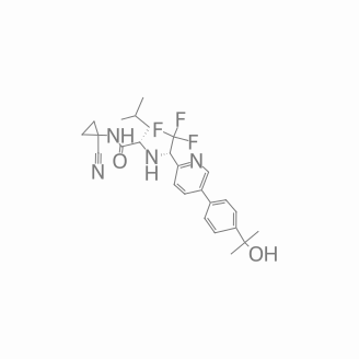 CC(C)C[C@H](N[C@@H](c1ccc(-c2ccc(C(C)(C)O)cc2)cn1)C(F)(F)F)C(=O)NC1(C#N)CC1